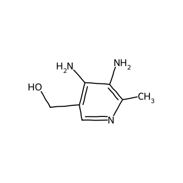 Cc1ncc(CO)c(N)c1N